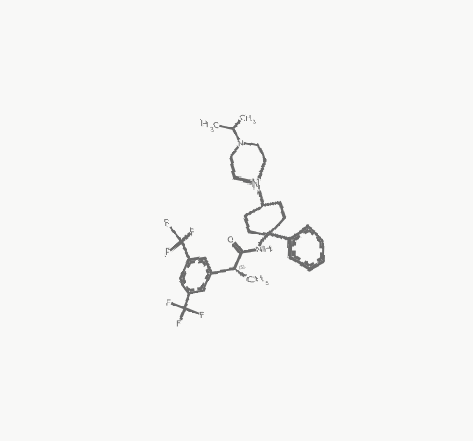 CC(C)N1CCN(C2CCC(NC(=O)[C@@H](C)c3cc(C(F)(F)F)cc(C(F)(F)F)c3)(c3ccccc3)CC2)CC1